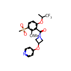 COc1c(S(C)(=O)=O)ccc(OC(C)C(F)(F)F)c1C(=O)N1CC(Oc2ccncc2)C1